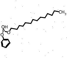 CCCCCCCCCCCCCCOP(O)Oc1ccccc1